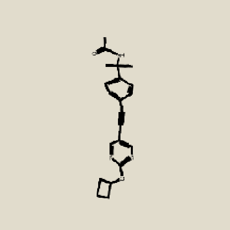 CC(=O)NC(C)(C)c1ccc(C#Cc2cnc(OC3CCC3)nc2)cc1